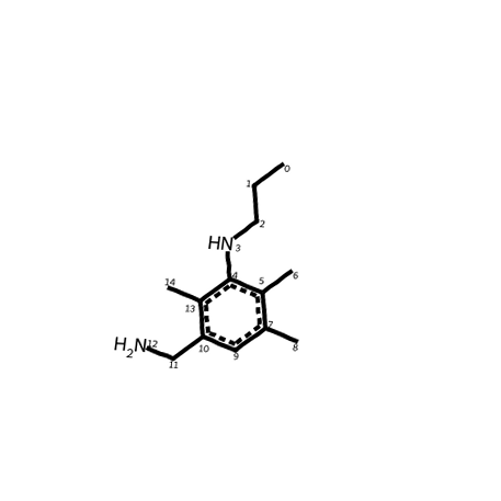 CCCNc1c(C)c(C)cc(CN)c1C